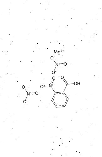 O=C(O)c1ccccc1[N+](=O)[O-].O=[N+]([O-])[O-].O=[N+]([O-])[O-].[Mg+2]